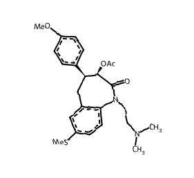 COc1ccc([C@@H]2Cc3cc(SC)ccc3N(CCN(C)C)C(=O)[C@@H]2OC(C)=O)cc1